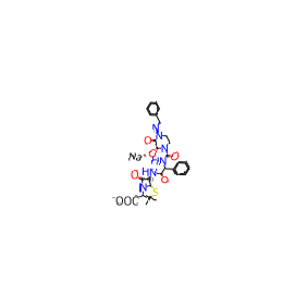 CC1(C)SC2[C@H](NC(=O)C(NC(=O)N3CCN(N=Cc4ccccc4)C(=O)C3=O)c3ccccc3)C(=O)N2C1C(=O)[O-].[Na+]